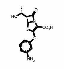 C[C@@H](O)[C@H]1C(=O)N2C(C(=O)O)=C(Oc3cccc(N)c3)SC12